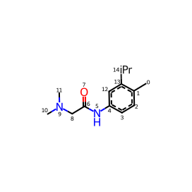 Cc1ccc(NC(=O)CN(C)C)cc1C(C)C